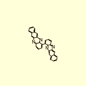 c1ccc2cc3nc4c(-c5cccc6nc7cc8ccccc8cc7nc56)cccc4nc3cc2c1